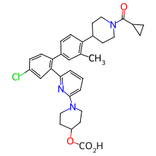 Cc1cc(-c2ccc(Cl)cc2-c2cccc(N3CCC(OC(=O)O)CC3)n2)ccc1C1CCN(C(=O)C2CC2)CC1